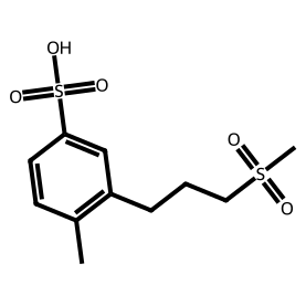 Cc1ccc(S(=O)(=O)O)cc1CCCS(C)(=O)=O